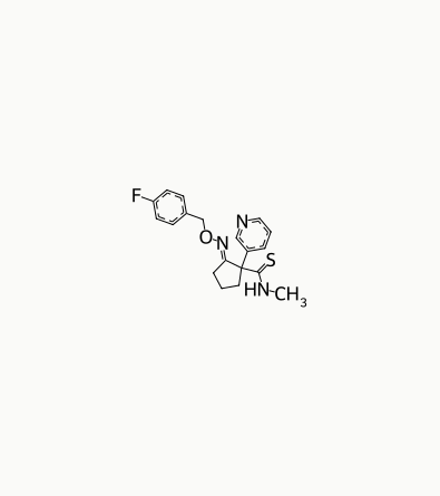 CNC(=S)C1(c2cccnc2)CCCC1=NOCc1ccc(F)cc1